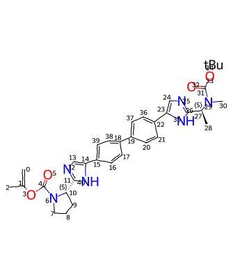 C=C(C)OC(=O)N1CCC[C@H]1c1ncc(-c2ccc(-c3ccc(-c4cnc([C@H](C)N(C)C(=O)OC(C)(C)C)[nH]4)cc3)cc2)[nH]1